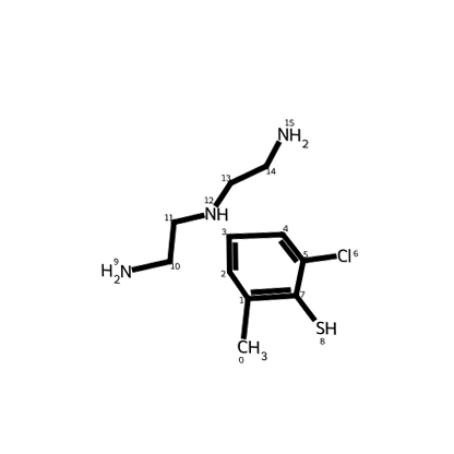 Cc1cccc(Cl)c1S.NCCNCCN